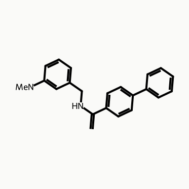 C=C(NCc1cccc(NC)c1)c1ccc(-c2ccccc2)cc1